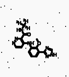 [2H]C([2H])([2H])NC(=O)c1nnccc1Nc1cccc(-c2nc[nH]n2)c1OC